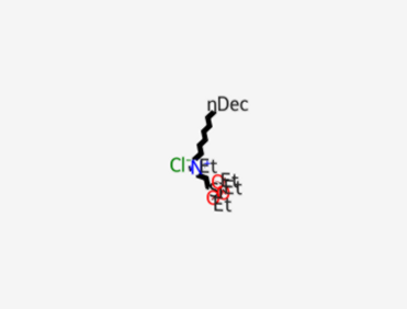 CCCCCCCCCCCCCCCCCC[N+](C)(CC)CCC[Si](OCC)(OCC)OCC.[Cl-]